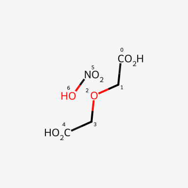 O=C(O)COCC(=O)O.O=[N+]([O-])O